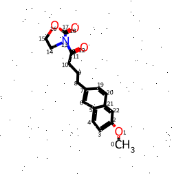 COc1ccc2cc(CCCC(=O)N3CCOC3=O)ccc2c1